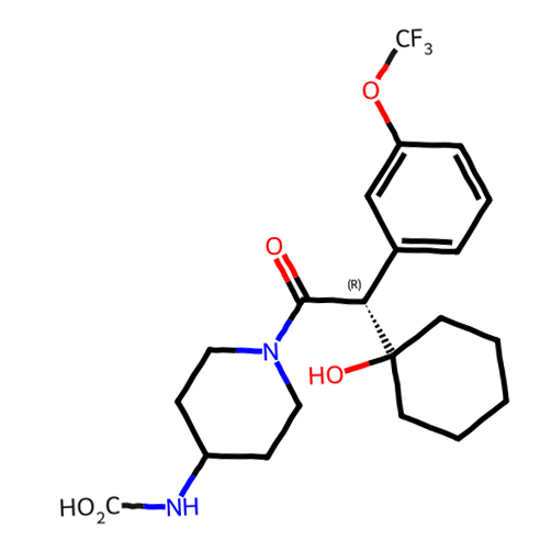 O=C(O)NC1CCN(C(=O)[C@H](c2cccc(OC(F)(F)F)c2)C2(O)CCCCC2)CC1